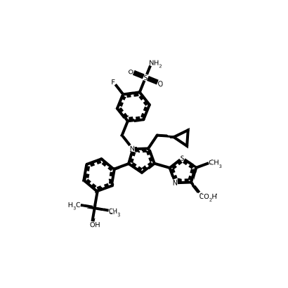 Cc1sc(-c2cc(-c3cccc(C(C)(C)O)c3)n(Cc3ccc(S(N)(=O)=O)c(F)c3)c2CC2CC2)nc1C(=O)O